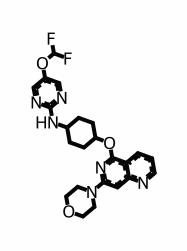 FC(F)Oc1cnc(NC2CCC(Oc3nc(N4CCOCC4)cc4ncccc34)CC2)nc1